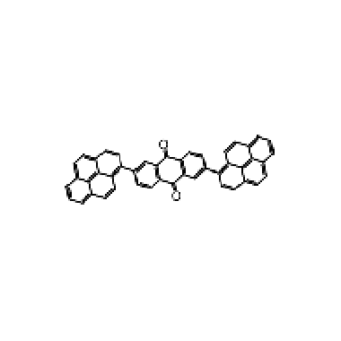 O=C1c2ccc(-c3ccc4ccc5cccc6ccc3c4c56)cc2C(=O)c2ccc(-c3ccc4ccc5cccc6ccc3c4c56)cc21